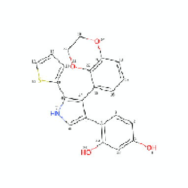 Oc1ccc(-c2c[nH]c(-c3cccs3)c2-c2cccc3c2OCCO3)c(O)c1